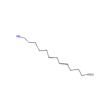 CCCCCCCCCCCCCCCCCCCC[NH]